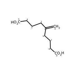 C=C(CCCC(=O)O)CCCC(=O)O